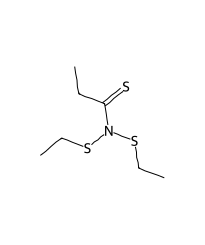 CCSN(SCC)C(=S)CC